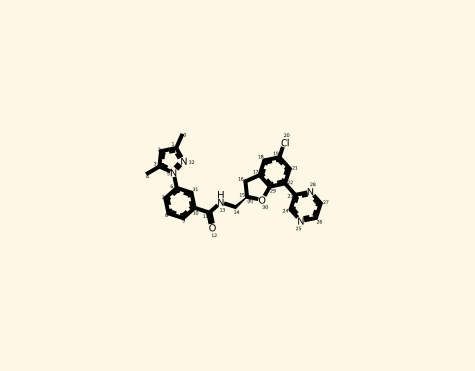 Cc1cc(C)n(-c2cccc(C(=O)NC[C@H]3Cc4cc(Cl)cc(-c5cnccn5)c4O3)c2)n1